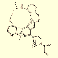 C=CC(=O)N1CCN(c2nc(=O)n3c4nc(c(Cl)cc24)-c2c(F)cccc2NC(=O)CCSc2ccnc(C(C)C)c2-3)C2C[C@H]21